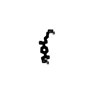 CCCCOC(=O)C1CCC(C(=O)CC)CC1